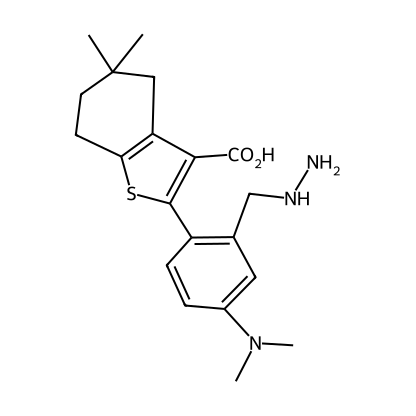 CN(C)c1ccc(-c2sc3c(c2C(=O)O)CC(C)(C)CC3)c(CNN)c1